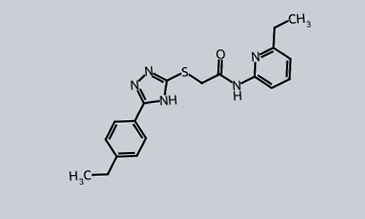 CCc1ccc(-c2nnc(SCC(=O)Nc3cccc(CC)n3)[nH]2)cc1